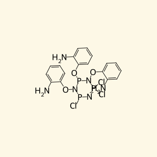 Nc1ccccc1ON1P(Cl)N=P(Cl)(Cl)N(Oc2ccccc2N)P1Oc1ccccc1N